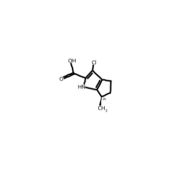 C[C@@H]1CCc2c1[nH]c(C(=O)O)c2Cl